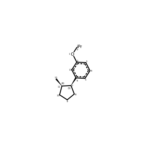 CC(C)Oc1cccc([C@H]2CCC[C@H]2C)c1